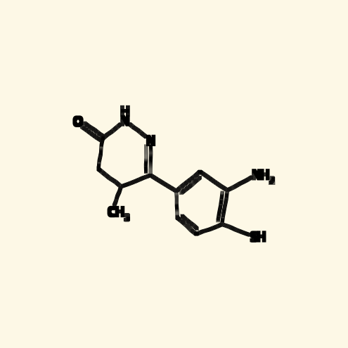 CC1CC(=O)NN=C1c1ccc(S)c(N)c1